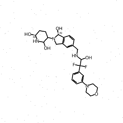 OC1N[C@@H](O)CCC1N1Cc2cc(CNC(O)C(F)(F)c3cccc(N4CCOCC4)c3)ccc2[C@@H]1O